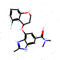 Cc1nc2c(OC3CCOc4cccc(F)c43)cc(C(=O)N(C)C)cc2[nH]1